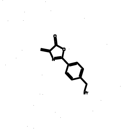 C=C1N=C(c2ccc(CC(C)C)cc2)OC1=O